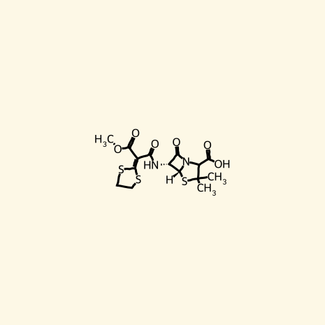 COC(=O)C(C(=O)N[C@@H]1C(=O)N2C(C(=O)O)C(C)(C)S[C@H]12)=C1SCCS1